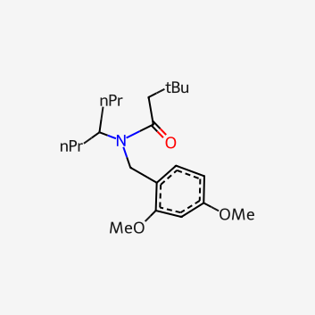 CCCC(CCC)N(Cc1ccc(OC)cc1OC)C(=O)CC(C)(C)C